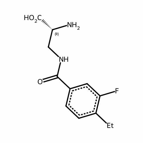 CCc1ccc(C(=O)NC[C@@H](N)C(=O)O)cc1F